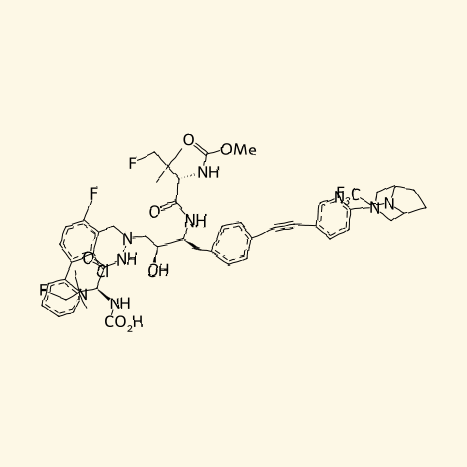 COC(=O)N[C@H](C(=O)N[C@@H](Cc1ccc(C#Cc2ccc(N3CC4CCC(C3)N4CC(F)(F)F)nc2)cc1)[C@@H](O)CN(Cc1c(F)ccc(-c2ccccn2)c1Cl)NC(=O)[C@@H](NC(=O)O)C(C)(C)CF)C(C)(C)CF